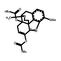 CCCCC(=O)OC1=CCC2(OC(=O)CCCC)C3Cc4ccc(OC)c5c4C2(CCN3C)[C@H]1O5